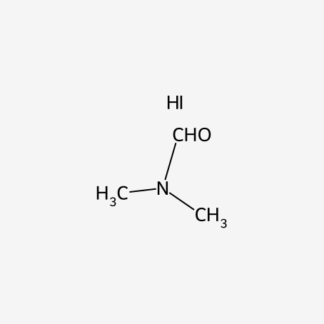 CN(C)C=O.I